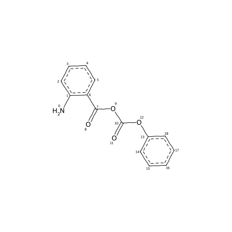 Nc1ccccc1C(=O)OC(=O)Oc1ccccc1